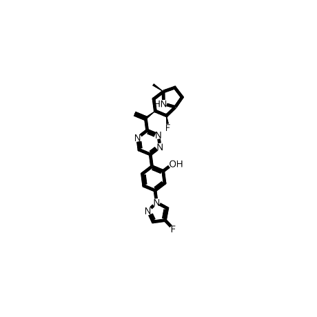 C=C(c1ncc(-c2ccc(-n3cc(F)cn3)cc2O)nn1)[C@H]1C[C@]2(C)CCC(N2)[C@H]1F